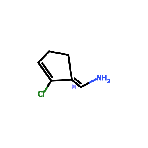 N/C=C1\CCC=C1Cl